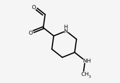 CNC1CCC(C(=O)C=O)NC1